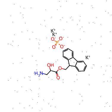 NCC(O)C(=O)OCC1c2ccccc2-c2ccccc21.O=P([O-])([O-])[O-].[K+].[K+].[K+]